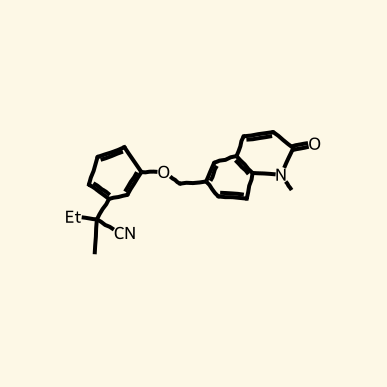 CCC(C)(C#N)c1cccc(OCc2ccc3c(ccc(=O)n3C)c2)c1